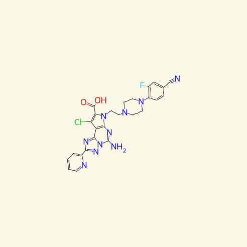 N#Cc1ccc(N2CCN(CCn3c(C(=O)O)c(Cl)c4c3nc(N)n3nc(-c5ccccn5)nc43)CC2)c(F)c1